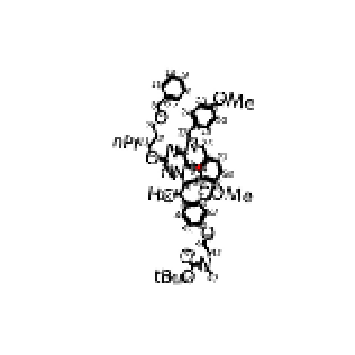 CCC[C@H](CCOCc1ccccc1)Oc1nc(N(Cc2ccc(OC)cc2)Cc2ccc(OC)cc2)c2ncc(C(O)c3ccc(OCCN(C)C(=O)OC(C)(C)C)cc3Cl)n2n1